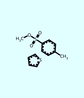 COS(=O)(=O)c1ccc(C)cc1.c1ccsc1